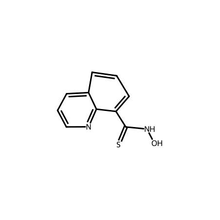 ONC(=S)c1cccc2cccnc12